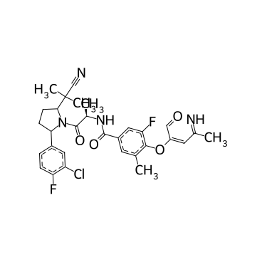 CC(=N)/C=C(\C=O)Oc1c(C)cc(C(=O)N[C@H](C)C(=O)N2C(c3ccc(F)c(Cl)c3)CCC2C(C)(C)C#N)cc1F